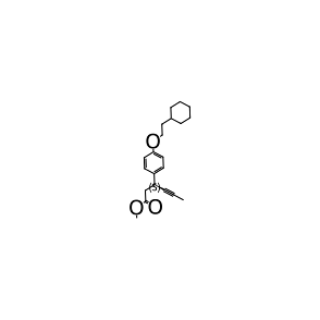 CC#C[C@@H](CC(=O)OC)c1ccc(OCCC2CCCCC2)cc1